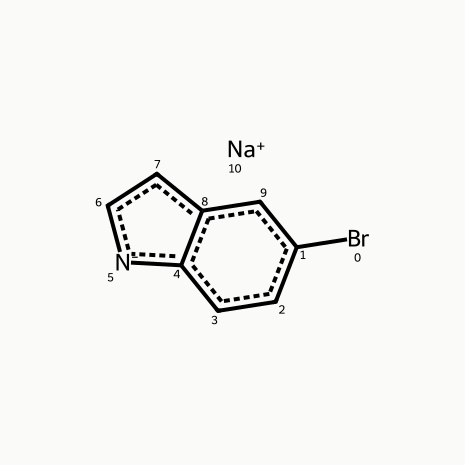 Brc1ccc2[n-]ccc2c1.[Na+]